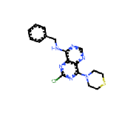 Clc1nc(N2CCSCC2)c2ncnc(NCc3ccccc3)c2n1